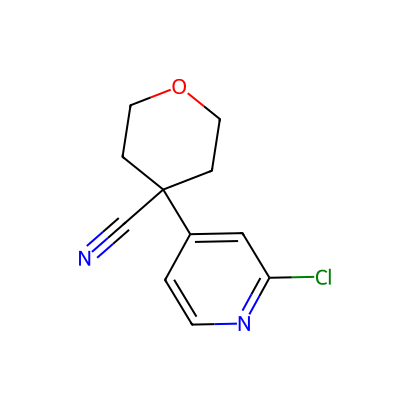 N#CC1(c2ccnc(Cl)c2)CCOCC1